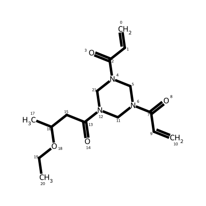 C=CC(=O)N1CN(C(=O)C=C)CN(C(=O)CC(C)OCC)C1